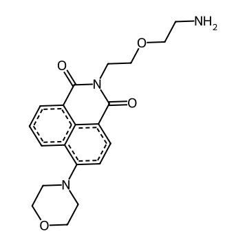 NCCOCCN1C(=O)c2cccc3c(N4CCOCC4)ccc(c23)C1=O